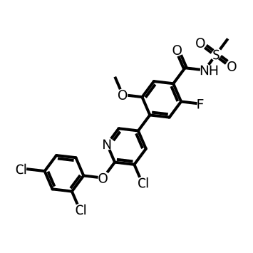 COc1cc(C(=O)NS(C)(=O)=O)c(F)cc1-c1cnc(Oc2ccc(Cl)cc2Cl)c(Cl)c1